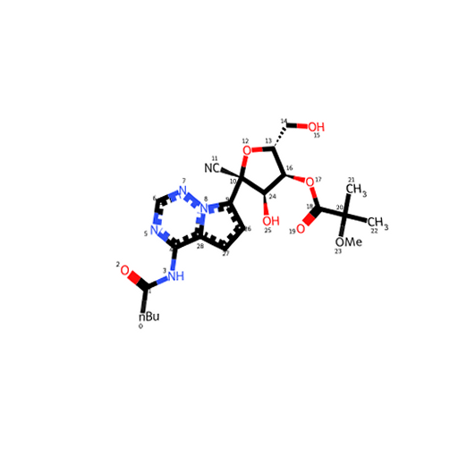 CCCCC(=O)Nc1ncnn2c([C@]3(C#N)O[C@H](CO)[C@@H](OC(=O)C(C)(C)OC)[C@H]3O)ccc12